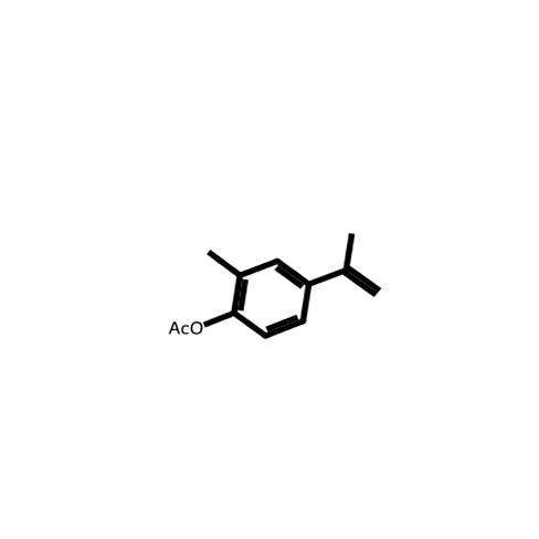 C=C(C)c1ccc(OC(C)=O)c(C)c1